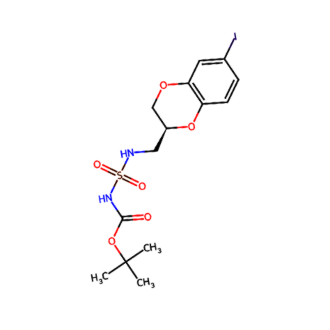 CC(C)(C)OC(=O)NS(=O)(=O)NC[C@H]1COc2cc(I)ccc2O1